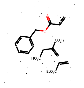 C=C(CC(=O)O)C(=O)O.C=CC(=O)OCC.C=CC(=O)OCc1ccccc1